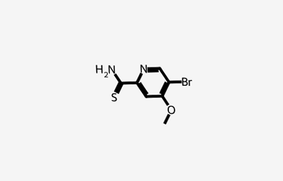 COc1cc(C(N)=S)ncc1Br